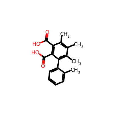 Cc1ccccc1-c1c(C)c(C)c(C)c(C(=O)O)c1C(=O)O